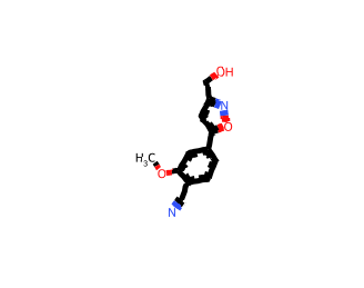 COc1cc(-c2cc(CO)no2)ccc1C#N